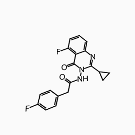 O=C(Cc1ccc(F)cc1)Nn1c(C2CC2)nc2cccc(F)c2c1=O